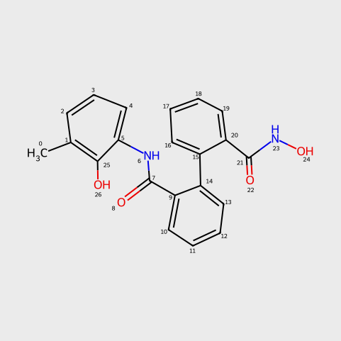 Cc1cccc(NC(=O)c2ccccc2-c2ccccc2C(=O)NO)c1O